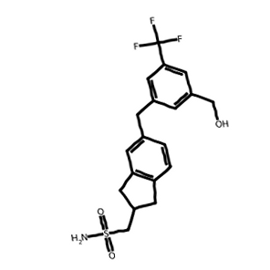 NS(=O)(=O)CC1Cc2ccc(Cc3cc(CO)cc(C(F)(F)F)c3)cc2C1